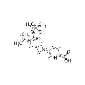 CC(C)N(CC1CN(c2cnc(C(=O)O)cn2)C1)C(=O)OC(C)(C)C